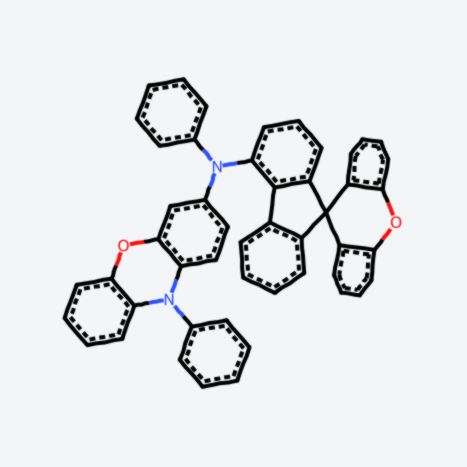 c1ccc(N(c2ccc3c(c2)Oc2ccccc2N3c2ccccc2)c2cccc3c2-c2ccccc2C32c3ccccc3Oc3ccccc32)cc1